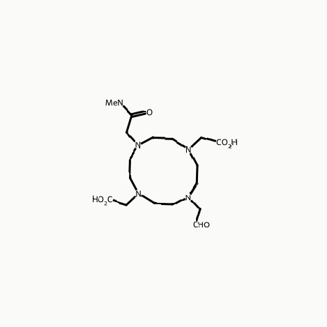 CNC(=O)CN1CCN(CC(=O)O)CCN(CC=O)CCN(CC(=O)O)CC1